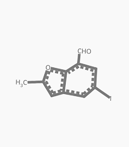 Cc1cc2cc(I)cc(C=O)c2o1